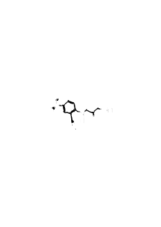 N#Cc1cc([N+](=O)[O-])ccc1NCC(O)CO